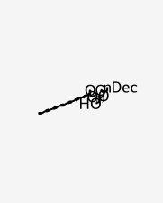 C#CC#CC#CC#CC#CC#CC#CC(=O)OC[C@@H](CO)OC(=O)CCCCCCCCCCC